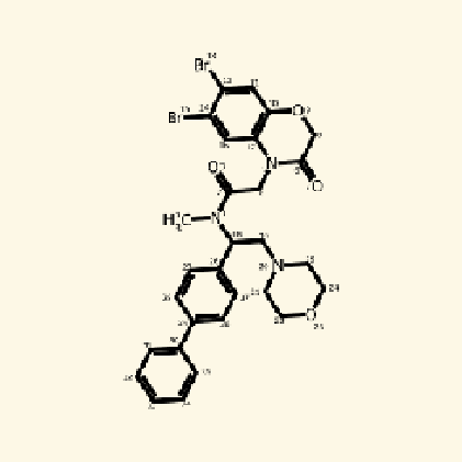 CN(C(=O)CN1C(=O)COc2cc(Br)c(Br)cc21)C(CN1CCOCC1)c1ccc(-c2ccccc2)cc1